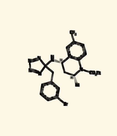 CCOC(=O)N1c2ccc(C(F)(F)F)cc2[C@@H](NC2(Cc3cccc(Br)c3)N=NN=N2)C[C@H]1CC